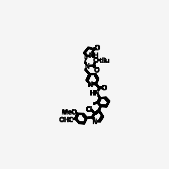 COc1cc(-c2nccc(-c3cccc(NC(=O)c4ccc(CN(C[C@@H]5CCC(=O)N5)C(=O)OC(C)(C)C)cn4)c3C)c2Cl)ccc1C=O